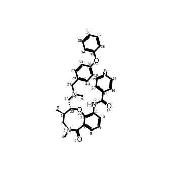 C[C@@H]1CN(C)C(=O)c2cccc(NC(=O)c3ccncc3)c2O[C@H]1CN(C)Cc1ccc(Oc2ccccc2)cc1